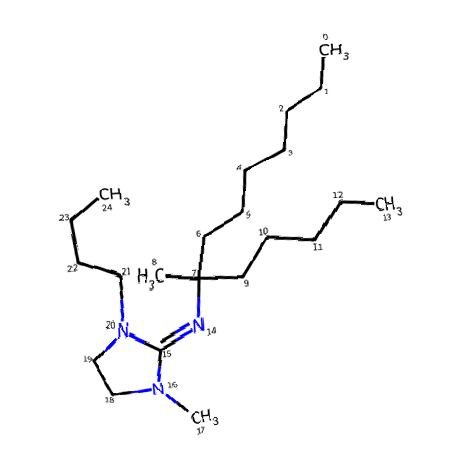 CCCCCCCC(C)(CCCCC)N=C1N(C)CCN1CCCC